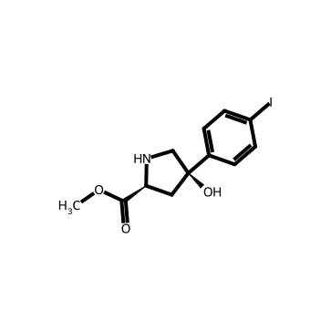 COC(=O)[C@@H]1C[C@@](O)(c2ccc(I)cc2)CN1